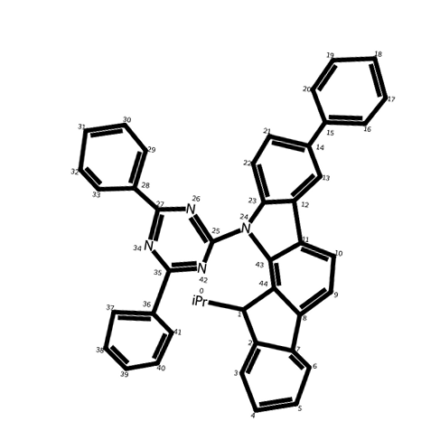 CC(C)C1c2ccccc2-c2ccc3c4cc(-c5ccccc5)ccc4n(-c4nc(-c5ccccc5)nc(-c5ccccc5)n4)c3c21